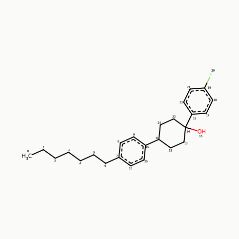 CCCCCCCc1ccc(C2CCC(O)(c3ccc(F)cc3)CC2)cc1